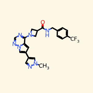 Cn1cc(-c2cc3c(N4CC(C(=O)NCc5ccc(C(F)(F)F)cc5)C4)ncnn3c2)cn1